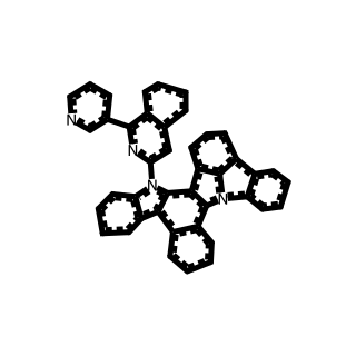 c1cncc(-c2nc(-n3c4ccccc4c4c5ccccc5c5c(c6cccc7c8ccccc8n5c76)c43)cc3ccccc23)c1